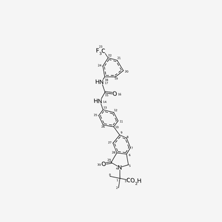 CC(C)(C(=O)O)N1Cc2ccc(-c3ccc(NC(=O)Nc4cccc(C(F)(F)F)c4)cc3)cc2C1=O